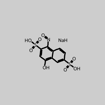 O=Nc1c(S(=O)(=O)O)cc(O)c2cc(S(=O)(=O)O)ccc12.[NaH]